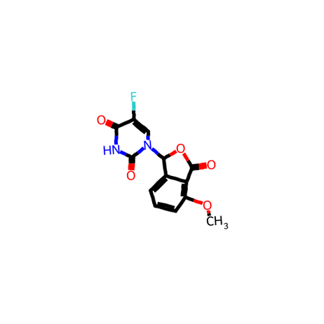 COc1cccc2c1C(=O)OC2n1cc(F)c(=O)[nH]c1=O